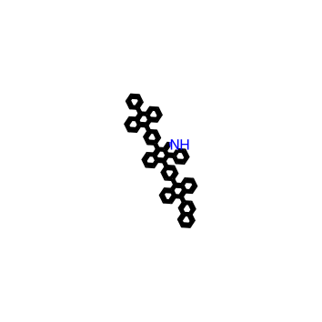 C1=CC2=c3c(-c4ccc(-c5c6ccccc6c(-c6ccc7ccccc7c6)c6ccccc56)cc4)c4ccccc4c(-c4ccc(-c5c6ccccc6c(-c6ccccc6)c6ccccc56)cc4)c3=CNC2C=C1